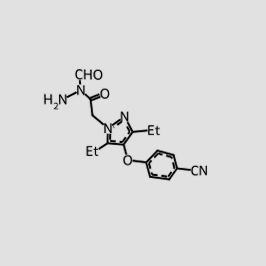 CCc1nn(CC(=O)N(N)C=O)c(CC)c1Oc1ccc(C#N)cc1